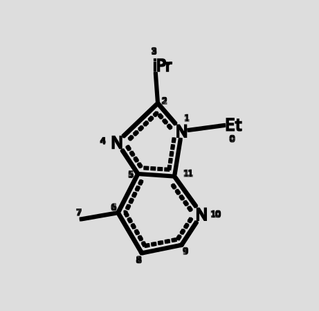 CCn1c(C(C)C)nc2c(C)ccnc21